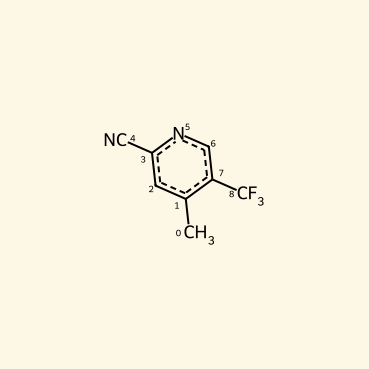 Cc1cc(C#N)ncc1C(F)(F)F